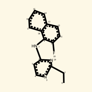 CCc1nccc(Nc2c(F)ccc3ccccc23)n1